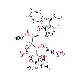 CCCCO[C@@H](CO[Si](c1ccccc1)(c1ccccc1)C(C)(C)C)C1OC(=O)[C@H](O[Si](C)(C)C(C)(C)C)C(O)[C@@H]1OB=BP